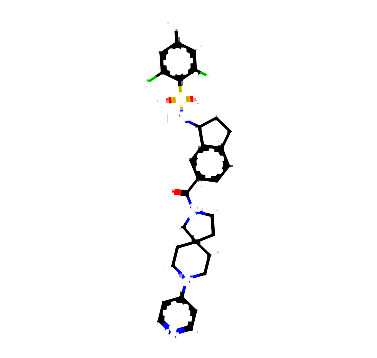 O=C(c1ccc2c(c1)C(NS(=O)(=O)c1c(Cl)cc(C(F)(F)F)cc1Cl)CC2)N1CCC2(CCN(c3ccncc3)CC2)C1